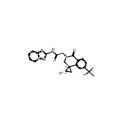 O=C(CN1C[C@]2(C[C@@H]2F)c2cc(C(F)(F)F)ccc2C1=O)Nc1nc2ccccn2n1